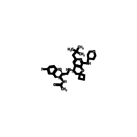 CC(=O)N[C@@H](Cc1cccc(F)c1)[C@H](O)CN[C@H]1CC2(CCC2)Oc2c1cc(CC(C)(C)C)nc2NC1CCOCC1